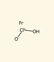 [Fr].[O-][Cl+]O